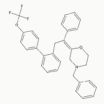 FC(F)(F)Oc1ccc(-c2ccccc2CC(=C2CN(Cc3ccccc3)CCO2)c2ccccc2)cc1